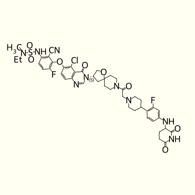 CCN(C)S(=O)(=O)Nc1ccc(F)c(Oc2ccc3ncn([C@@H]4COC5(CCN(C(=O)CN6CCC(c7ccc(NC8CCC(=O)NC8=O)cc7F)CC6)CC5)C4)c(=O)c3c2Cl)c1C#N